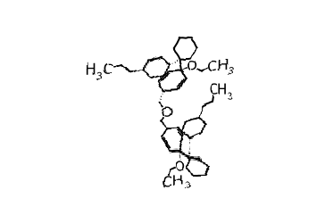 CCC[C@H]1CC[C@H](C2([C@]3(OCC)C=C[C@H](COC[C@H]4C=C[C@@](OCC)(C5([C@H]6CC[C@H](CCC)CC6)CCCCC5)C=C4)C=C3)CCCCC2)CC1